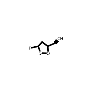 C#CC1CC(F)SO1